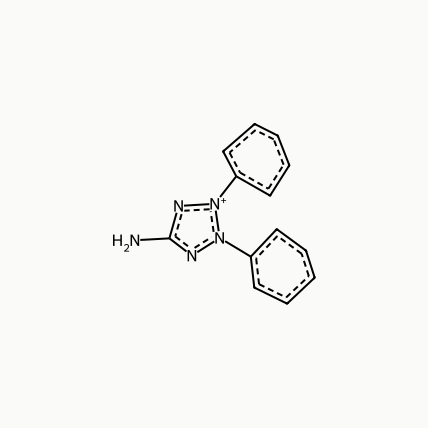 Nc1nn(-c2ccccc2)[n+](-c2ccccc2)n1